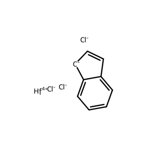 [Cl-].[Cl-].[Cl-].[Hf+4].c1ccc2[cH-]ccc2c1